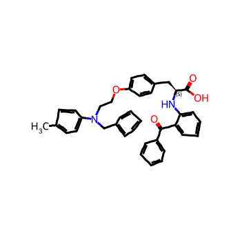 Cc1ccc(N(CCOc2ccc(C[C@H](Nc3ccccc3C(=O)c3ccccc3)C(=O)O)cc2)Cc2ccccc2)cc1